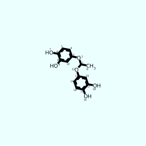 CC(Oc1ccc(O)c(O)c1)Oc1ccc(O)c(O)c1